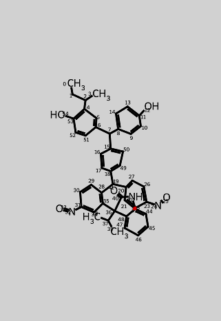 CCC(C)c1cc(C(c2ccc(O)cc2)c2ccc(C(c3ccc(N=O)cc3)c3ccc(N=O)cc3C3(C(C)C)C(=O)Nc4ccccc43)cc2)ccc1O